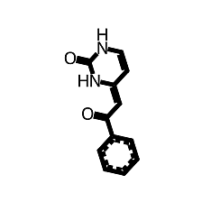 O=C1NC=CC(=CC(=O)c2ccccc2)N1